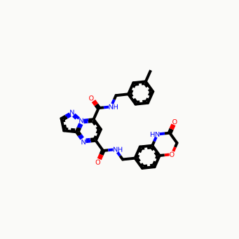 Cc1cccc(CNC(=O)c2cc(C(=O)NCc3ccc4c(c3)NC(=O)CO4)nc3ccnn23)c1